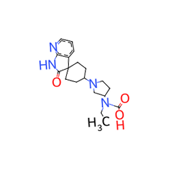 CCN(C(=O)O)[C@H]1CCN(C2CCC3(CC2)C(=O)Nc2ncccc23)C1